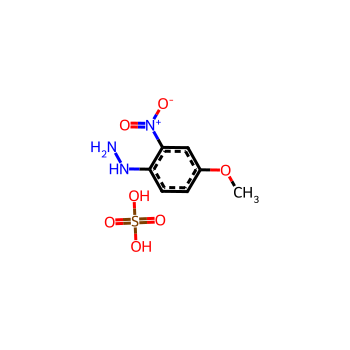 COc1ccc(NN)c([N+](=O)[O-])c1.O=S(=O)(O)O